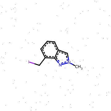 Cn1cc2cccc(CI)c2n1